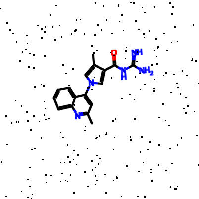 Cc1cc(-n2cc(C)c(C(=O)NC(=N)N)c2)c2ccccc2n1